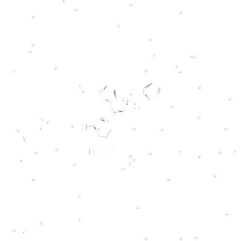 O=C(O)Cc1cc(Cl)cc(-c2cn(S(=O)(=O)c3ccccc3)c3ccccc23)c1